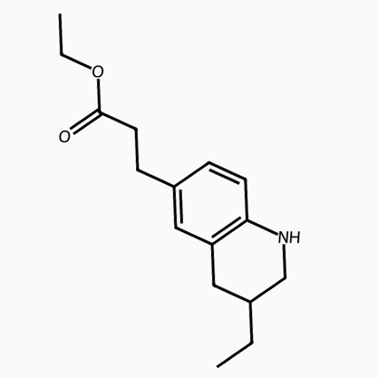 CCOC(=O)CCc1ccc2c(c1)CC(CC)CN2